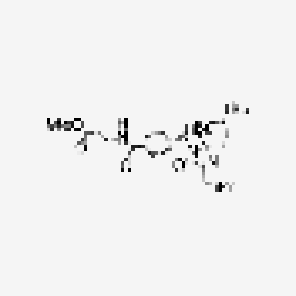 CCCC[C@H](c1ccc(C(=O)NCCC(=O)OC)cc1)N1C(=O)C(CC(C)C)=NC12CCC(C(C)(C)C)CC2